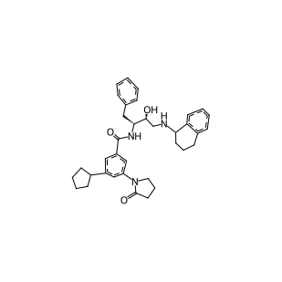 O=C(N[C@@H](Cc1ccccc1)[C@@H](O)CNC1CCCc2ccccc21)c1cc(C2CCCC2)cc(N2CCCC2=O)c1